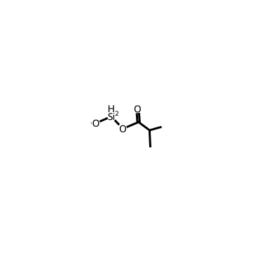 CC(C)C(=O)O[SiH2][O]